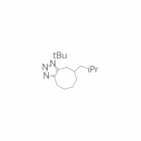 CC(C)CC1CCCCc2nnn(C(C)(C)C)c2C1